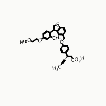 CC#C[C@@H](CC(=O)O)c1ccc(OCc2ccc3scc(-c4ccc(OCCOC)cc4C)c3c2)cc1